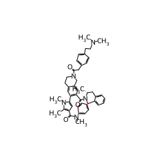 Cc1c(C(=O)N(C)c2ccccc2)cc(-c2cc3c(cc2C(=O)N2Cc4ccccc4C[C@H]2C)CN(C(=O)Cc2ccc(CCN(C)C)cc2)CC3)n1C